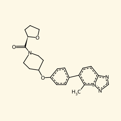 Cc1c(-c2ccc(OC3CCN(C(=O)[C@H]4CCCO4)CC3)cc2)ccc2ncnn12